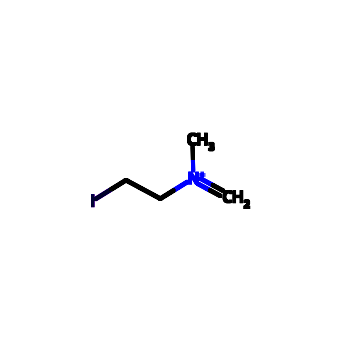 C=[N+](C)CCI